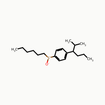 CCCCCC[S+]([O-])c1ccc(C(CCC)C(C)C)cc1